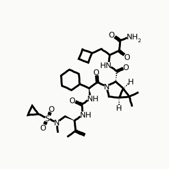 C=C(C)[C@@H](CN(C)S(=O)(=O)C1CC1)NC(=O)N[C@H](C(=O)N1C[C@H]2[C@@H]([C@H]1C(=O)NC(CC1CCC1)C(=O)C(N)=O)C2(C)C)C1CCCCC1